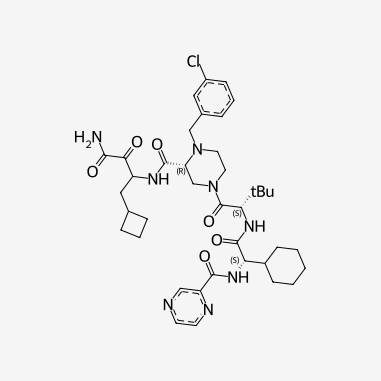 CC(C)(C)[C@H](NC(=O)[C@@H](NC(=O)c1cnccn1)C1CCCCC1)C(=O)N1CCN(Cc2cccc(Cl)c2)[C@@H](C(=O)NC(CC2CCC2)C(=O)C(N)=O)C1